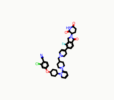 N#Cc1ccc(OC2CCC(N3CC=CC=C3N3CCC(CN4CC=C(c5ccc6c(c5F)CN(C5CCC(=O)NC5=O)C6=O)CC4)CC3)CC2)cc1Cl